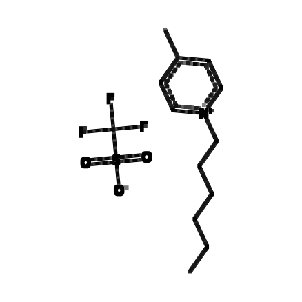 CCCCCC[n+]1ccc(C)cc1.O=S(=O)([O-])C(F)(F)F